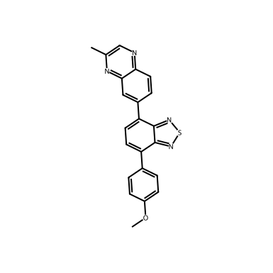 COc1ccc(-c2ccc(-c3ccc4ncc(C)nc4c3)c3nsnc23)cc1